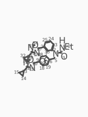 CCNC(=O)N(CC12CCC(c3nc(C4CC4)no3)(CC1)CC2)c1cccc(-c2nc(C3CC3)no2)c1